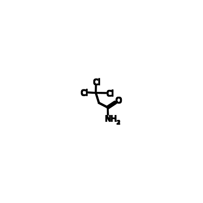 NC(=O)CC(Cl)(Cl)Cl